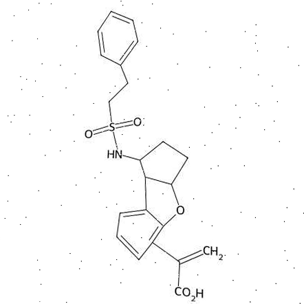 C=C(C(=O)O)c1cccc2c1OC1CCC(NS(=O)(=O)CCc3ccccc3)C21